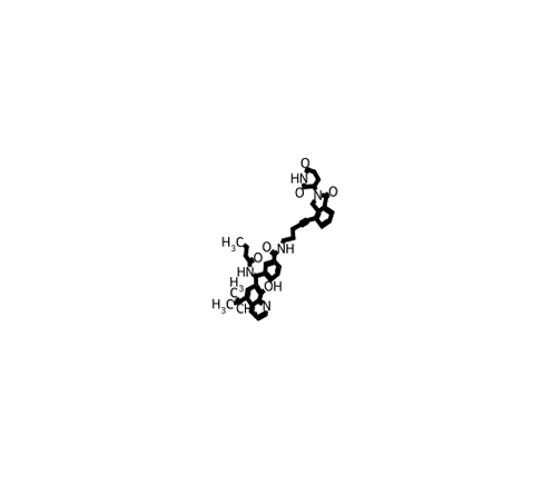 CCCC(=O)NC(c1cccc(C(=O)NCCCC#Cc2cccc3c2CN(C2CCC(=O)NC2=O)C3=O)c1)c1cc(C(C)(C)C)c2cccnc2c1O